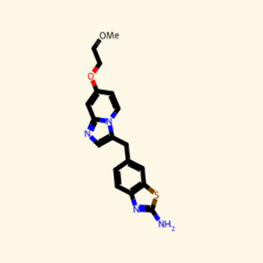 COCCOc1ccn2c(Cc3ccc4nc(N)sc4c3)cnc2c1